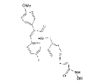 COc1ccc(C(=Cc2ccc(F)cc2)C(=O)NCc2ccc(/C=C/C(=O)NO)cc2)cc1